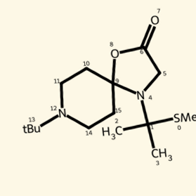 CSC(C)(C)N1CC(=O)OC12CCN(C(C)(C)C)CC2